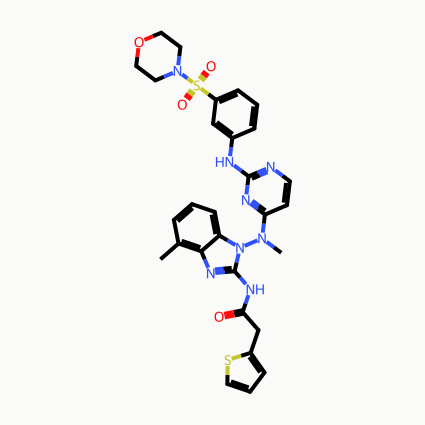 Cc1cccc2c1nc(NC(=O)Cc1cccs1)n2N(C)c1ccnc(Nc2cccc(S(=O)(=O)N3CCOCC3)c2)n1